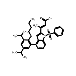 CCCCOc1c(-c2cccc3c2cc(C(C)=CC(=O)O)n3S(=O)(=O)c2ccccc2)cc(C(C)C)cc1C(C)C